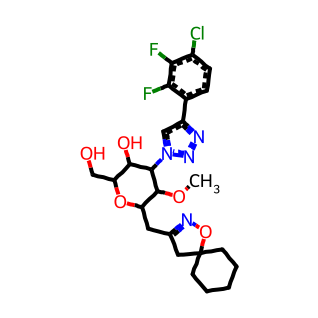 COC1C(CC2=NOC3(CCCCC3)C2)OC(CO)C(O)C1n1cc(-c2ccc(Cl)c(F)c2F)nn1